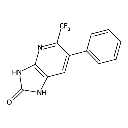 O=c1[nH]c2cc(-c3ccccc3)c(C(F)(F)F)nc2[nH]1